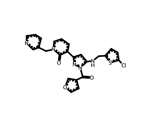 O=C(c1ccoc1)n1nc(-c2cccn(Cc3cccnc3)c2=O)cc1NCc1ccc(Cl)s1